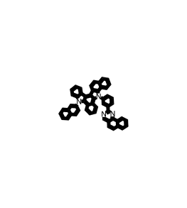 c1cc(-c2ncc3ccc4ccccc4c3n2)cc(-n2c3c4ccccc4ccc3c3c4c5ccccc5n(-c5ccc6ccccc6c5)c4c4ccccc4c32)c1